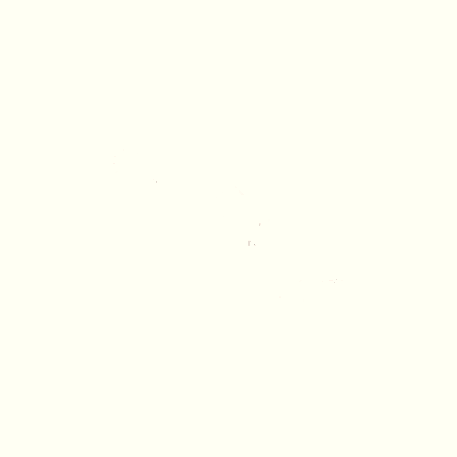 COc1cccc(C(=O)CNC(=O)c2cccc(CC3CCN(c4ccccc4F)CC3)c2)c1